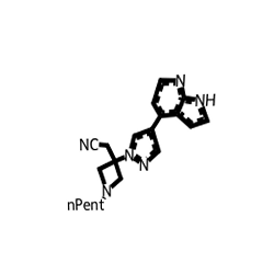 CCCCCN1CC(CC#N)(n2cc(-c3ccnc4[nH]ccc34)cn2)C1